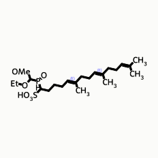 CCOC(OC)[PH](=O)C(CCC/C=C(\C)CC/C=C(\C)CCC=C(C)C)S(=O)(=O)O